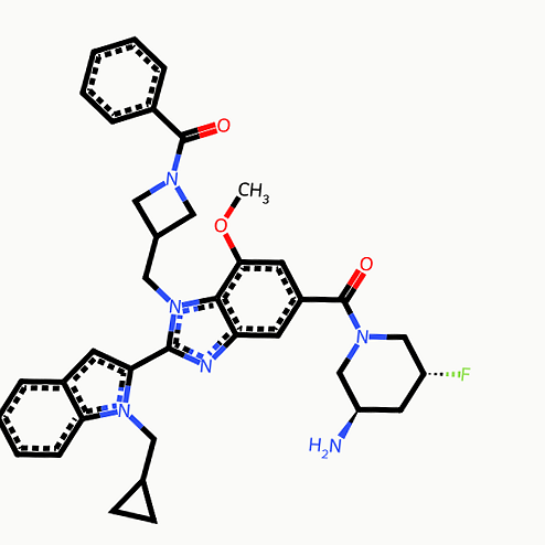 COc1cc(C(=O)N2C[C@H](N)C[C@@H](F)C2)cc2nc(-c3cc4ccccc4n3CC3CC3)n(CC3CN(C(=O)c4ccccc4)C3)c12